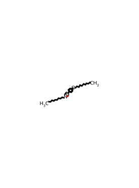 C=CCCCCCCCCCOc1ccc(N2CCN(CCCCCCCCCCC)CC2)cc1